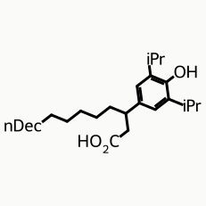 CCCCCCCCCCCCCCCC(CC(=O)O)c1cc(C(C)C)c(O)c(C(C)C)c1